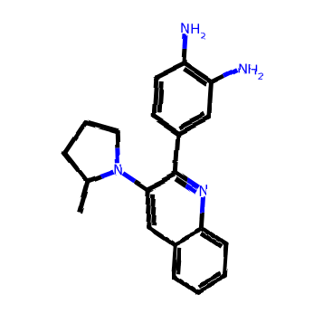 CC1CCCN1c1cc2ccccc2nc1-c1ccc(N)c(N)c1